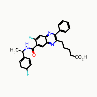 C[C@@H](NC(=O)c1cc2nc(CCCCC(=O)O)c(-c3ccccc3)nc2cc1F)C1=CCC(F)C=C1